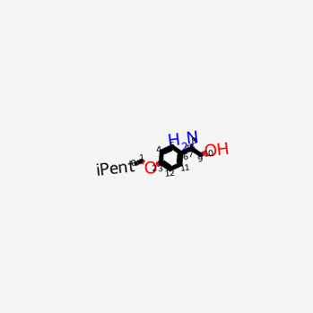 CCCC(C)COc1ccc([C@@H](N)CO)cc1